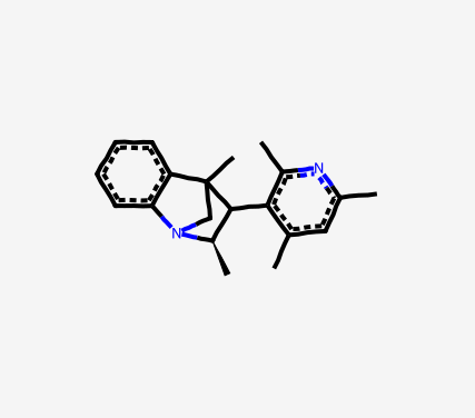 Cc1cc(C)c(C2[C@@H](C)N3CC2(C)c2ccccc23)c(C)n1